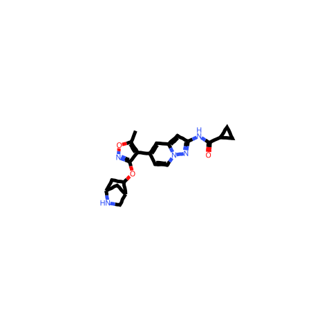 Cc1onc(OC2CC3CC2CN3)c1-c1ccn2nc(NC(=O)C3CC3)cc2c1